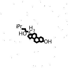 CC(C)CCC(O)C[C@H]1CCC2C3CCC4C[C@@H](O)CCC4C3CCC21C